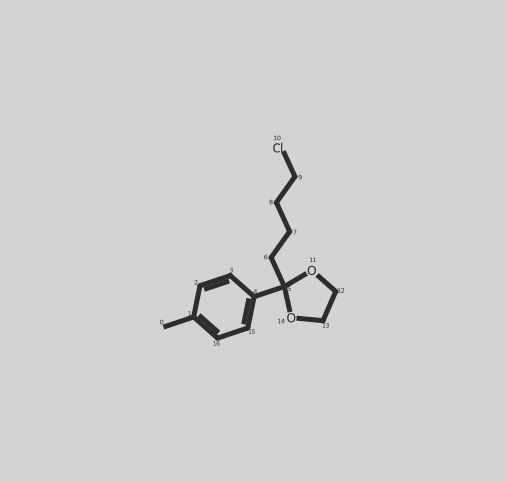 Cc1ccc(C2(CCCCCl)OCCO2)cc1